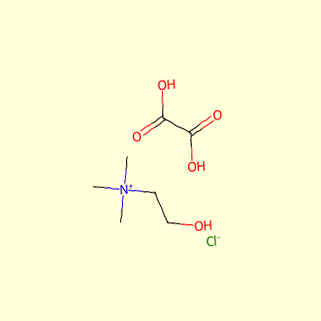 C[N+](C)(C)CCO.O=C(O)C(=O)O.[Cl-]